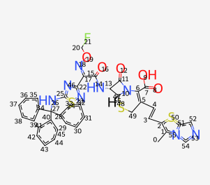 Cc1c(C=CC2=C(C(=O)O)N3C(=O)[C@@H](NC(=O)/C(=N\OCF)c4nsc(NC(c5ccccc5)(c5ccccc5)c5ccccc5)n4)[C@H]3SC2)sc2cncn12